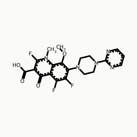 COc1c(N2CCN(c3ncccn3)CC2)c(F)c(F)c2c(=O)c(C(=O)O)c(F)n(C)c12